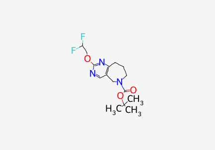 CC(C)(C)OC(=O)N1CCCc2nc(OCC(F)F)ncc2C1